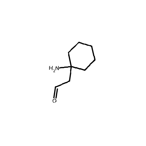 NC1(CC=O)CCCCC1